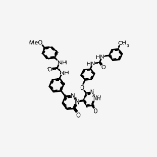 COc1ccc(NC(=O)Nc2cccc(-c3ccc(=O)n(-c4cc(=O)[nH]nc4Oc4ccc(NC(=O)Nc5cccc(C)c5)cc4)n3)c2)cc1